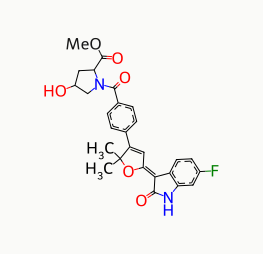 COC(=O)C1CC(O)CN1C(=O)c1ccc(C2=CC(=C3C(=O)Nc4cc(F)ccc43)OC2(C)C)cc1